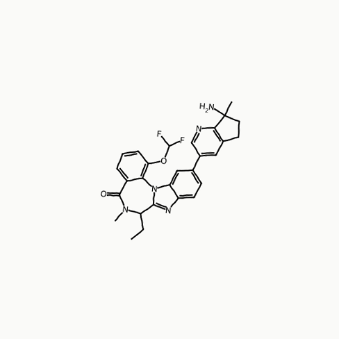 CCC1c2nc3ccc(-c4cnc5c(c4)CCC5(C)N)cc3n2-c2c(OC(F)F)cccc2C(=O)N1C